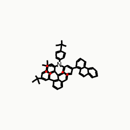 CC(C)(C)c1ccc(N(c2cccc(-c3cccc4c3ccc3ccccc34)c2)c2ccccc2-c2cccc3cccc(-c4cc(C(C)(C)C)cc(C(C)(C)C)c4)c23)cc1